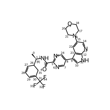 C[C@@H](NC(=O)c1ncc(-c2c[nH]c3ncc(N4CCOCC4)cc23)cn1)C1C=CC=C(C(F)(F)F)C1